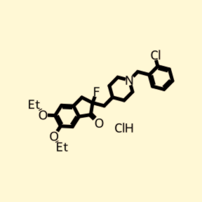 CCOc1cc2c(cc1OCC)C(=O)C(F)(CC1CCN(Cc3ccccc3Cl)CC1)C2.Cl